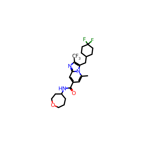 Cc1cc(C(=O)NC2CCCOCC2)cc2nc(C(F)(F)F)c(CC3CCC(F)(F)CC3)n12